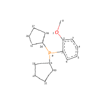 COc1ccccc1P(C1CCCC1)C1CCCC1